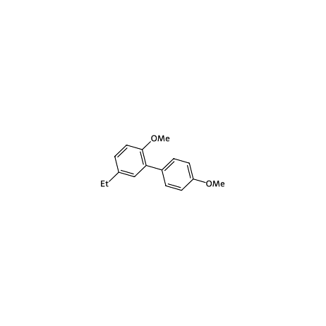 CCc1ccc(OC)c(-c2ccc(OC)cc2)c1